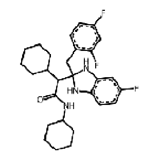 O=C(NC1CCCCC1)C(C1CCCCC1)C1(Cc2ccc(F)cc2F)Nc2ccc(F)cc2N1